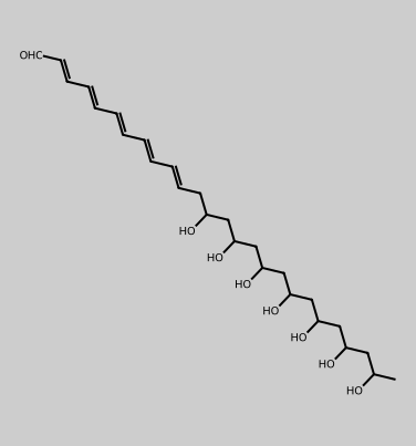 CC(O)CC(O)CC(O)CC(O)CC(O)CC(O)CC(O)CC=CC=CC=CC=CC=CC=O